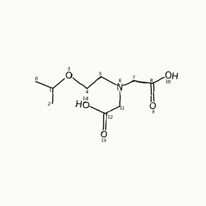 CC(C)OCCN(CC(=O)O)CC(=O)O